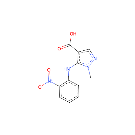 Cn1ncc(C(=O)O)c1Nc1ccccc1[N+](=O)[O-]